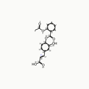 CC(=O)Oc1ccccc1C(=O)Oc1ccc(/C=C/C(=O)O)cc1O